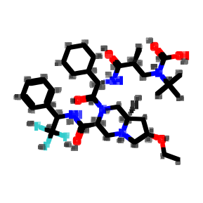 CCO[C@@H]1C[C@@H]2CN(C(=O)[C@@H](NC(=O)[C@@H](C)CN(C(=O)O)C(C)(C)C)C3CCCCC3)[C@H](C(=O)NC(c3ccccc3)C(F)(F)F)CN2C1